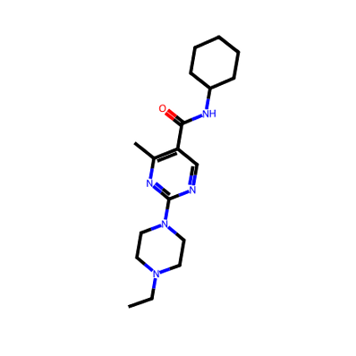 CCN1CCN(c2ncc(C(=O)NC3CCCCC3)c(C)n2)CC1